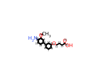 COc1cc(-c2cccc(OCCCC(=O)O)c2)ccc1N